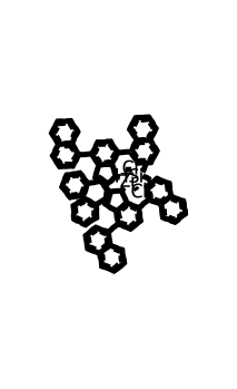 C[SiH](C)[Zr]([Cl])([Cl])([CH]1C(Cc2ccccc2)=Cc2c(-c3cccc4ccccc34)ccc(-c3cccc4ccccc34)c21)[CH]1C(Cc2ccccc2)=Cc2c(-c3cccc4ccccc34)ccc(-c3cccc4ccccc34)c21